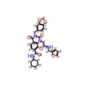 O=C(Cn1c(=O)n(Cc2ccc3c(c2)OCO3)c(=O)c2ccc(C(=O)NC3CCCCC3)cc21)NCc1ccco1